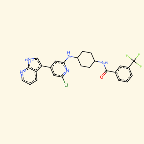 O=C(NC1CCC(Nc2cc(-c3c[nH]c4ncccc34)cc(Cl)n2)CC1)c1cccc(C(F)(F)F)c1